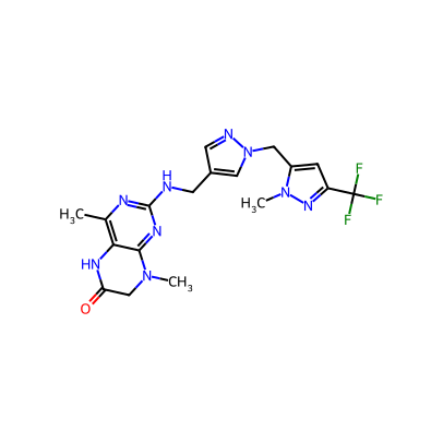 Cc1nc(NCc2cnn(Cc3cc(C(F)(F)F)nn3C)c2)nc2c1NC(=O)CN2C